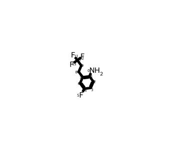 Nc1ccc(F)cc1CCC(F)(F)F